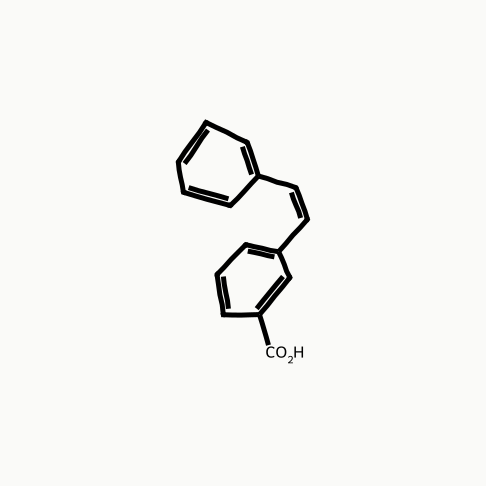 O=C(O)c1cccc(/C=C\c2ccccc2)c1